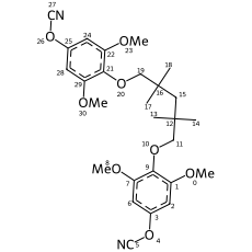 COc1cc(OC#N)cc(OC)c1OCC(C)(C)CC(C)(C)COc1c(OC)cc(OC#N)cc1OC